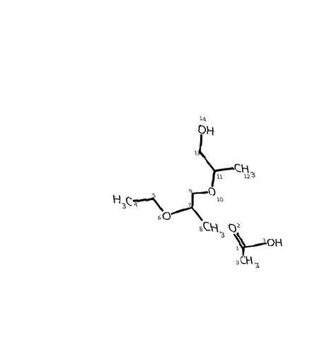 CC(=O)O.CCOC(C)COC(C)CO